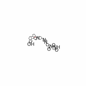 C[C@@]1(C2CCCCC2)CCc2cc(O)ccc2[C@@H]1c1ccc(N2CCC(CN3CCN(c4ccc5c(c4)CN([C@H]4CCC(=O)NC4=O)C5=O)CC3)CC2)cc1